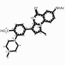 CC(=O)Nc1ccc2c(c1)c(=O)oc1c(-c3ccc(C(=O)O)c(N4CCN(C)CC4)c3)cc(C)n12